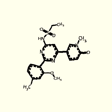 CCS(=O)(=O)Nc1cc(-c2ccc(=O)n(C)c2)nc(-c2ccc(C)cc2OC)n1